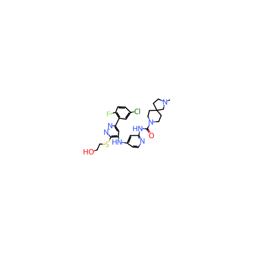 CN1CCC2(CCN(C(=O)Nc3cc(Nc4cc(-c5cc(Cl)ccc5F)nnc4SCCO)ccn3)CC2)C1